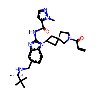 C=CC(=O)N1CC[C@]2(C1)C[C@H](n1c(NC(=O)c3ccnn3C)nc3cc(CN[C@@H](C)C(C)(C)C)ccc31)C2